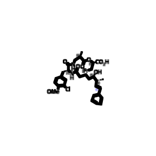 COc1ccc(C[C@@H](NC(=O)CCC[C@H](O)[C@H](C)/C=C/c2ccccc2)C(=O)NC[C@@H](C)C(=O)O[C@@H](CC(C)C)C(=O)O)cc1Cl